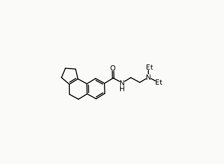 CCN(CC)CCNC(=O)c1ccc2c(c1)C1=C(CCC1)CC2